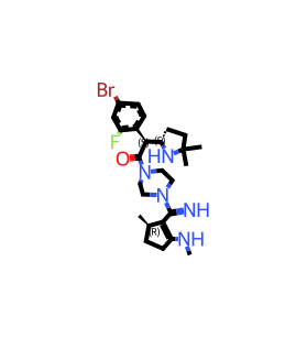 CNC1=C(C(=N)N2CCN(C(=O)[C@@H](c3ccc(Br)cc3F)[C@@H]3CCC(C)(C)N3)CC2)[C@H](C)CC1